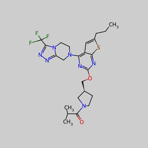 CCCc1cc2c(N3CCn4c(nnc4C(F)(F)F)C3)nc(OC[C@H]3CCN(C(=O)C(C)C)C3)nc2s1